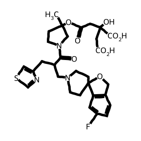 CC1(OC(=O)CC(O)(CC(=O)O)C(=O)O)CCN(C(=O)C(Cc2cscn2)CN2CCC3(CC2)OCc2ccc(F)cc23)C1